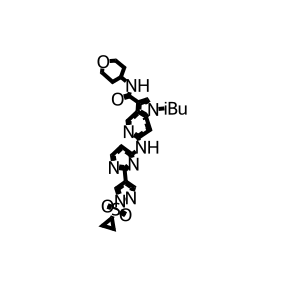 CCC(C)n1cc(C(=O)NC2CCOCC2)c2cnc(Nc3ccnc(-c4cnn(S(=O)(=O)C5CC5)c4)n3)cc21